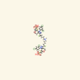 CN(CCC/C=C(\F)c1nn(-c2ccc(Cl)cc2Cl)c2c1CCOc1cc(S(=O)(=O)O)sc1-2)CCC/C=C(\F)c1nn(-c2ccc(Cl)cc2Cl)c2c1CCOc1cc(S(=O)(=O)O)sc1-2